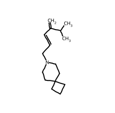 C=C(/C=C/CN1CCC2(CCC2)CC1)C(C)C